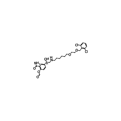 NC(=O)c1cc([C@@H](O)CNCCCCCCOCCOCc2c(Cl)cccc2Cl)ccc1OC=O